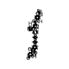 O=C1CCC(N2C(=O)c3ccc(N4CC(N5CC(N6CCN(c7ncc(C(=O)Nc8ccc(OC(F)(F)Cl)cc8)cc7-c7ccn[nH]7)CC6)C5)C4)cc3C2=O)C(=O)N1